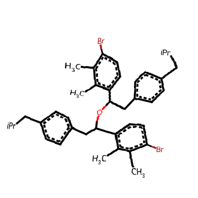 Cc1c(Br)ccc(C(Cc2ccc(CC(C)C)cc2)OC(Cc2ccc(CC(C)C)cc2)c2ccc(Br)c(C)c2C)c1C